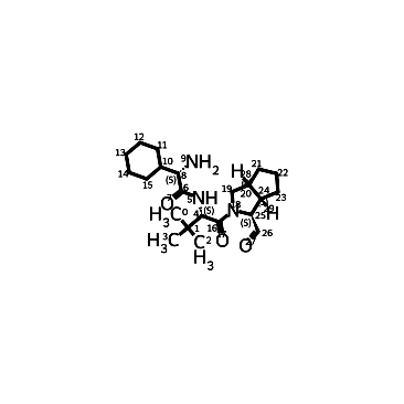 CC(C)(C)[C@H](NC(=O)[C@@H](N)C1CCCCC1)C(=O)N1C[C@@H]2CCC[C@@H]2[C@H]1C=O